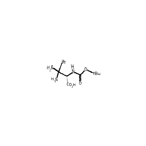 BC(B)(C(C)C)[C@H](NC(=O)OC(C)(C)C)C(=O)O